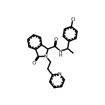 CC(NC(=O)C1c2ccccc2C(=O)N1CCc1ccccn1)c1ccc(Cl)cc1